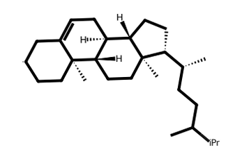 CC(C)C(C)CC[C@@H](C)[C@H]1CC[C@H]2[C@@H]3CC=C4C[CH]CC[C@]4(C)[C@H]3CC[C@]12C